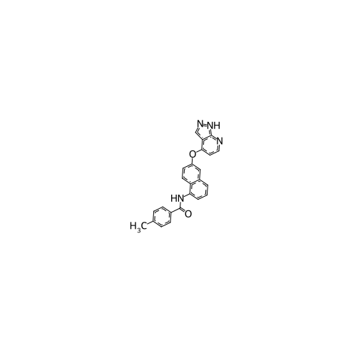 Cc1ccc(C(=O)Nc2cccc3cc(Oc4ccnc5[nH]ncc45)ccc23)cc1